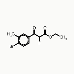 CCOC(=O)C(F)C(=O)c1ccc(Br)c(C)c1